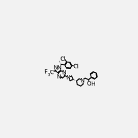 C[C@H](c1ccc(Cl)cc1Cl)n1nc(C(F)(F)F)c2ncc(N3CC([C@H]4CCCN(CC(O)c5ccccc5)C4)C3)nc21